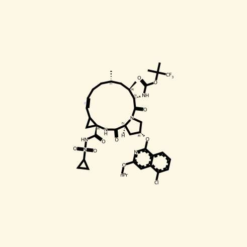 CCCOc1cc2c(Cl)cccc2c(O[C@@H]2C[C@H]3C(=O)N[C@]4(C(=O)NS(=O)(=O)C5CC5)CC4/C=C\CC[C@H](C)C[C@@H](C)[C@H](NC(=O)OC(C)(C)C(F)(F)F)C(=O)N3C2)n1